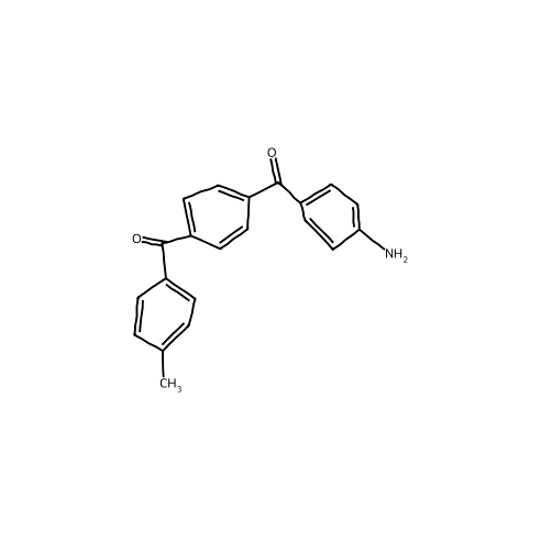 Cc1ccc(C(=O)c2ccc(C(=O)c3ccc(N)cc3)cc2)cc1